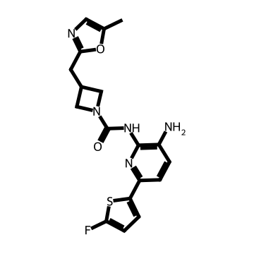 Cc1cnc(CC2CN(C(=O)Nc3nc(-c4ccc(F)s4)ccc3N)C2)o1